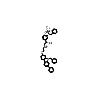 CS(=O)(=O)N(Cc1ccccc1)c1cccc([C@@H](O)CNCCOc2ccc3c4ccc(-c5ccccc5)cc4n(Cc4ccccc4)c3c2)c1